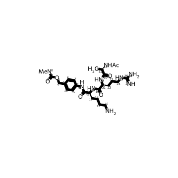 CNC(=O)OCc1ccc(NC(=O)[C@H](CCCCN)NC(=O)[C@H](CCCNC(=N)N)NC(=O)[C@H](C)NC(C)=O)cc1